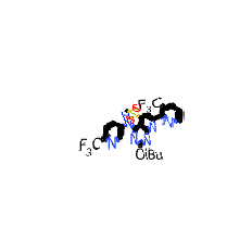 CC(C)COc1nc(Nc2ccc(C(F)(F)F)nc2)c2c(S(C)(=O)=O)cc(-c3ncccc3C(F)(F)F)nc2n1